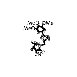 COc1cc(-c2nnc(Cn3nc(C)c(C)c(C#N)c3=O)o2)cc(OC)c1OC